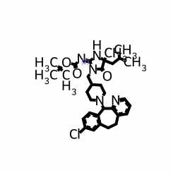 CC(C)CC1(C)N/C(=N/C(=O)OC(C)(C)C)N(CC2CCN(C3c4ccc(Cl)cc4CCc4cccnc43)CC2)C1=O